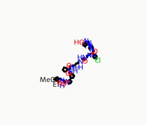 CCOc1cc(OC)ccc1CNCC(=O)N1CCCC(c2cccc(C(=O)N[C@@H](C(=O)NCCCCCNCC(=O)NCCNC[C@@H](C(=O)N3CCN(c4ncnc5c4[C@H](C)C[C@H]5O)CC3)c3ccc(Cl)cc3)C3CCCCC3)c2)C1